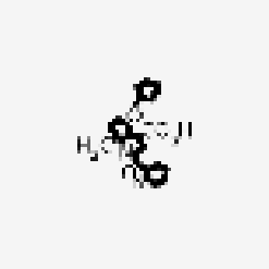 Cc1ccc(OCc2ccccc2)c2c(C(=O)O)cc(-c3onc4ccccc34)nc12